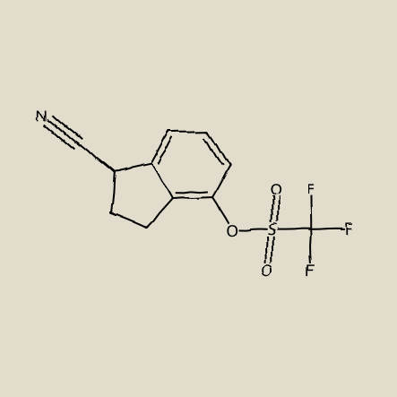 N#CC1CCc2c(OS(=O)(=O)C(F)(F)F)cccc21